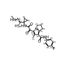 CN/N=C(\S)C1(NC(=O)C(=O)c2c(C)c(C(=O)Nc3ccc(F)cc3)c3n2CCC3)CC1